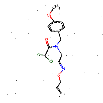 C=CCON=CCN(Cc1ccc(OC)cc1)C(=O)C(Cl)Cl